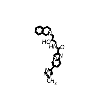 Cn1cc(-c2ccc3nc(C(=O)NCC(O)CN4CCc5ccccc5C4)cn3c2)nn1